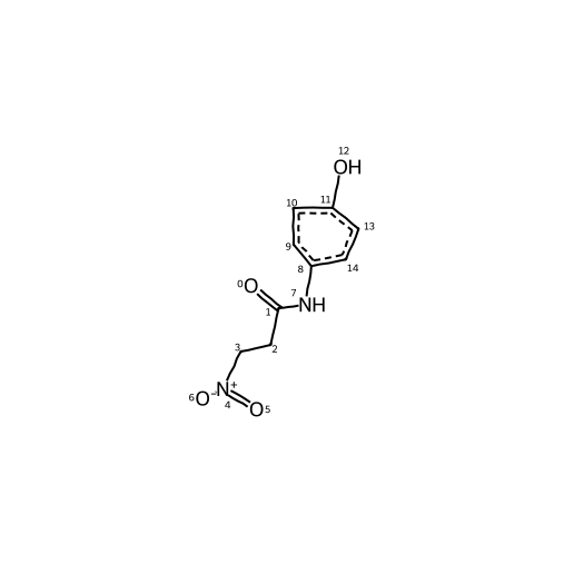 O=C(CC[N+](=O)[O-])Nc1ccc(O)cc1